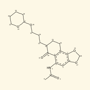 CC(=O)Nc1cc2c(c3c1C(=O)C(CCCOC1CCCCO1)CC3)OCO2